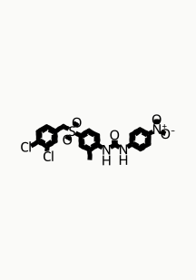 Cc1cc(S(=O)(=O)Cc2ccc(Cl)c(Cl)c2)ccc1NC(=O)Nc1ccc([N+](=O)[O-])cc1